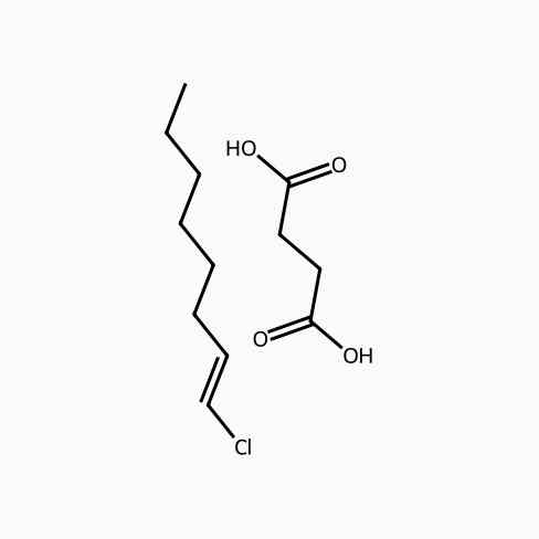 CCCCCC/C=C/Cl.O=C(O)CCC(=O)O